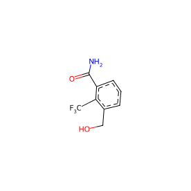 NC(=O)c1cccc(CO)c1C(F)(F)F